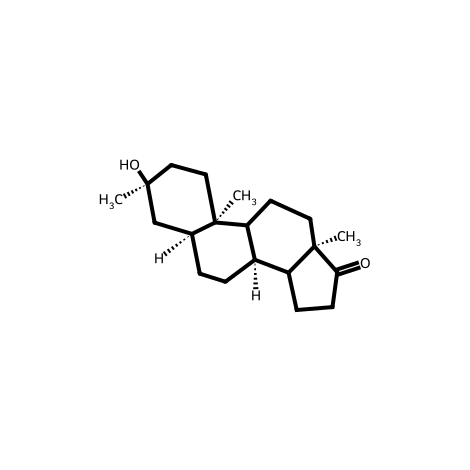 C[C@]1(O)CC[C@@]2(C)C3CC[C@@]4(C)C(=O)CCC4[C@H]3CC[C@H]2C1